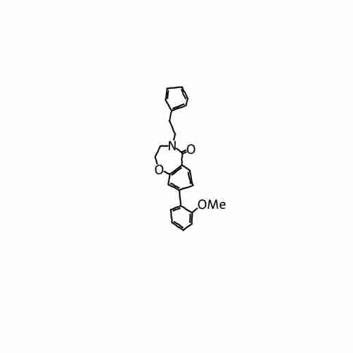 COc1ccccc1-c1ccc2c(c1)OCCN(CCc1ccccc1)C2=O